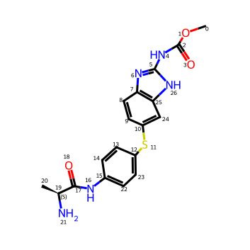 COC(=O)Nc1nc2ccc(Sc3ccc(NC(=O)[C@H](C)N)cc3)cc2[nH]1